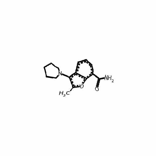 Cc1oc2c(C(N)=O)cccc2c1N1CCCCC1